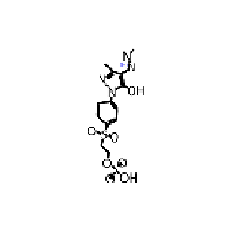 C/N=N/c1c(C)nn(-c2ccc(S(=O)(=O)CCOS(=O)(=O)O)cc2)c1O